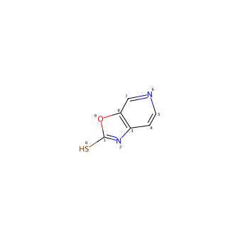 Sc1nc2ccncc2o1